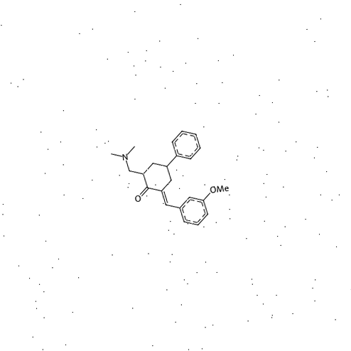 COc1cccc(C=C2CC(c3ccccc3)CC(CN(C)C)C2=O)c1